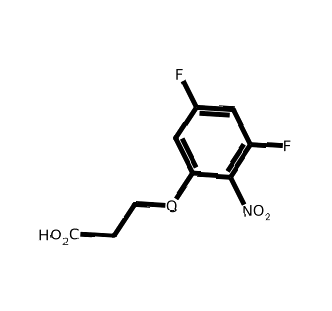 O=C(O)CCOc1cc(F)cc(F)c1[N+](=O)[O-]